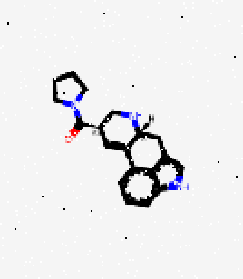 O=C([C@@H]1C=C2c3cccc4[nH]cc(c34)C[C@H]2NC1)N1CCCC1